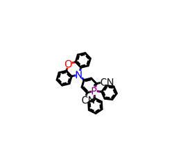 N#CC1=CC(N2c3ccccc3Oc3ccccc32)=CC(C#N)=P1(c1ccccc1)c1ccccc1